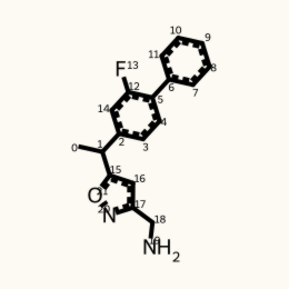 CC(c1ccc(-c2ccccc2)c(F)c1)c1cc(CN)no1